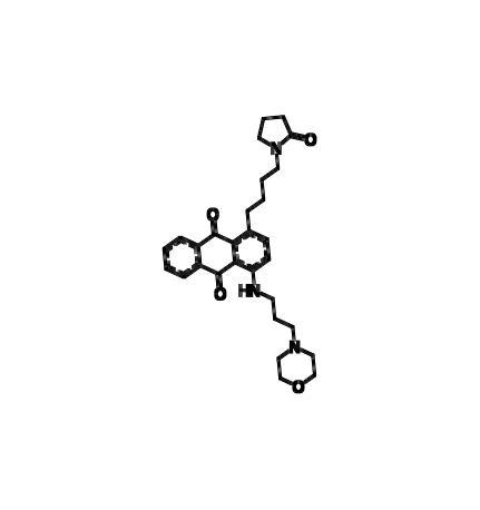 O=C1c2ccccc2C(=O)c2c(NCCCN3CCOCC3)ccc(CCCCN3CCCC3=O)c21